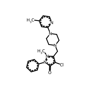 Cc1ccnc(N2CCN(Cc3c(Cl)c(=O)n(-c4ccccc4)n3C)CC2)c1